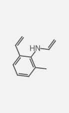 C=CNc1c(C)cccc1C=C